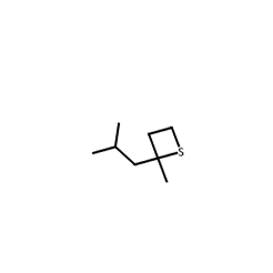 CC(C)CC1(C)CCS1